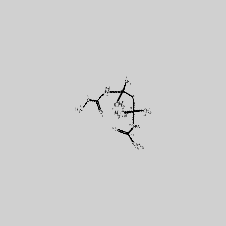 COC(=O)NC(C)(C)CC(C)(C)NC(C)=O